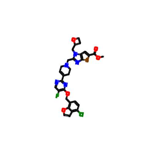 COC(=O)c1cc2c(nc(CN3CC=C(c4ncc(F)c(OCc5ccc(Cl)c6ccoc56)n4)CC3)n2CC2CCO2)s1